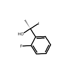 C[C@](O)(I)c1ccccc1F